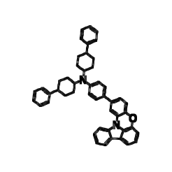 c1ccc(C2CCC(N(c3ccc(-c4ccc5c(c4)-n4c6ccccc6c6cccc(c64)O5)cc3)C3CCC(c4ccccc4)CC3)CC2)cc1